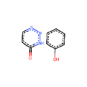 O=c1ccnn[nH]1.Oc1ccccc1